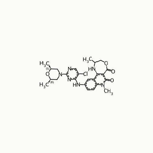 CC1COC(=O)c2c(c3cc(Nc4nc(N5C[C@@H](C)O[C@@H](C)C5)ncc4Cl)ccc3n(C)c2=O)N1